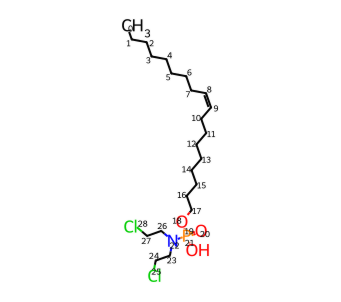 CCCCCCCC/C=C\CCCCCCCCOP(=O)(O)N(CCCl)CCCl